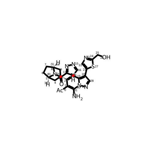 CC(=O)c1c([C@@H]2C[C@H]3CC[C@@H](C2)N3C(=O)c2nnc[nH]2)nc2c(-c3cnc(CO)s3)cnn2c1N